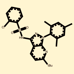 Cc1cc(C)c(-n2nc(NS(=O)(=O)c3ccccc3Cl)c3ccc(C(C)(C)C)nc32)c(C)c1